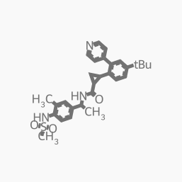 Cc1cc(C(C)NC(=O)C2CC2c2ccc(C(C)(C)C)cc2-c2ccncc2)ccc1NS(C)(=O)=O